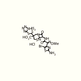 CON=C(C(=O)NC1C(=O)N2CC(C(=O)O)(C(C)Sc3nnn[nH]3)CS[C@H]12)c1nc(N)sc1Br.Cl